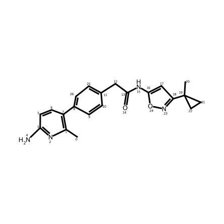 Cc1nc(N)ccc1-c1ccc(CC(=O)Nc2cc(C3(C)CC3)no2)cc1